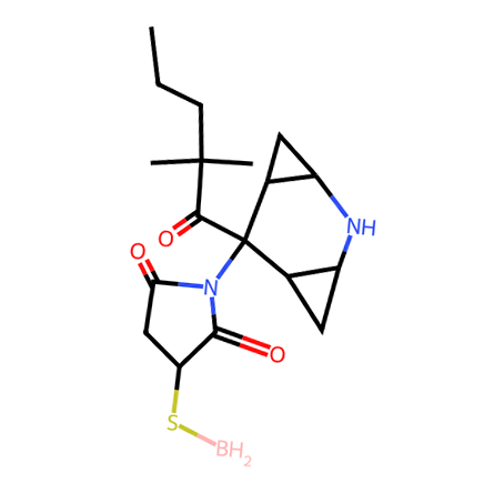 BSC1CC(=O)N(C2(C(=O)C(C)(C)CCC)C3CC3NC3CC32)C1=O